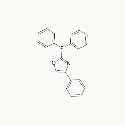 c1ccc(-c2coc(P(c3ccccc3)c3ccccc3)n2)cc1